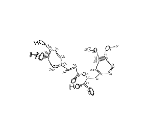 COc1ccc(CC(OC(=O)C=Cc2ccc(O)c(O)c2)C(=O)O)cc1OC